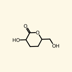 O=C1OC(CO)CCC1O